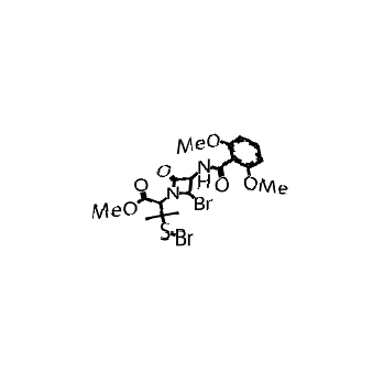 COC(=O)C(N1C(=O)C(NC(=O)c2c(OC)cccc2OC)C1Br)C(C)(C)SBr